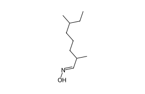 CCC(C)CCCC(C)/C=N/O